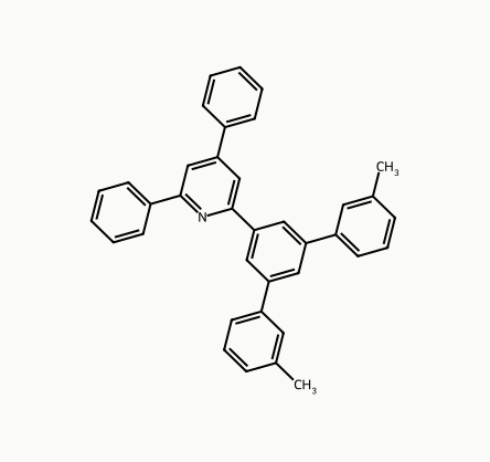 Cc1cccc(-c2cc(-c3cccc(C)c3)cc(-c3cc(-c4ccccc4)cc(-c4ccccc4)n3)c2)c1